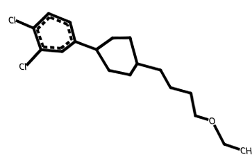 CCOCCCCC1CCC(c2ccc(Cl)c(Cl)c2)CC1